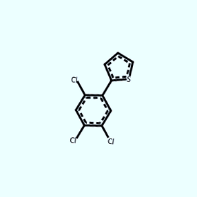 Clc1cc(Cl)c(-c2cccs2)cc1Cl